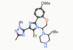 CCCCC1CNCCN1C1COc2cc(OC)ccc2-c2nc(-c3nc(C)nn3C(C)C)c(CC)n21